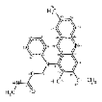 CNC(=O)OCN(c1ccccc1)c1c(C)c(OC)cc2nc3ccc(C)cc3cc12